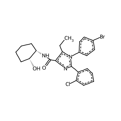 CCc1c(C(=O)N[C@H]2CCCC[C@H]2O)nc(-c2ccccc2Cl)n1-c1ccc(Br)cc1